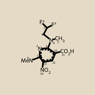 CNc1nc(N(C)CC(F)F)c(C(=O)O)cc1[N+](=O)[O-]